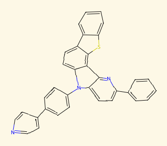 c1ccc(-c2ccc3c(n2)c2c4sc5ccccc5c4ccc2n3-c2ccc(-c3ccncc3)cc2)cc1